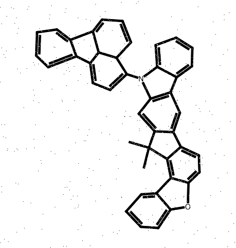 CC1(C)c2cc3c(cc2-c2ccc4oc5ccccc5c4c21)c1ccccc1n3C1=CC=C2c3ccccc3C3=CC=CC1C32